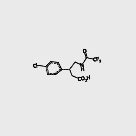 O=C(O)CC(CNC(=O)C(F)(F)F)c1ccc(Cl)cc1